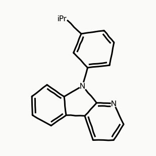 CC(C)c1cccc(-n2c3ccccc3c3cccnc32)c1